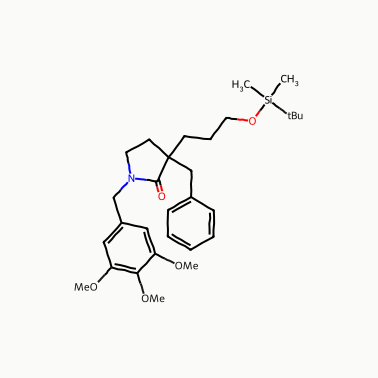 COc1cc(CN2CCC(CCCO[Si](C)(C)C(C)(C)C)(Cc3ccccc3)C2=O)cc(OC)c1OC